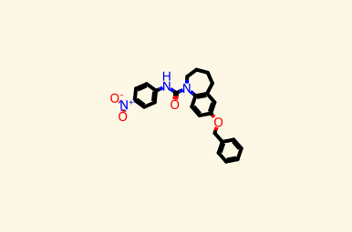 O=C(Nc1ccc([N+](=O)[O-])cc1)N1CCCCc2cc(OCc3ccccc3)ccc21